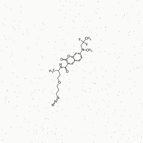 CC(CCOCCCN=[N+]=[N-])NC(=O)c1cc2ccc(N(C)CC(C)(F)F)cc2oc1=O